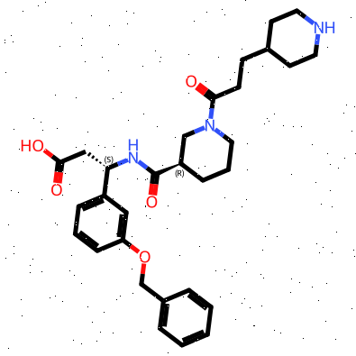 O=C(O)C[C@H](NC(=O)[C@@H]1CCCN(C(=O)CCC2CCNCC2)C1)c1cccc(OCc2ccccc2)c1